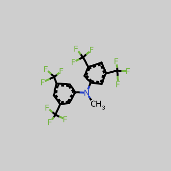 CN(c1cc(C(F)(F)F)cc(C(F)(F)F)c1)c1cc(C(F)(F)F)cc(C(F)(F)F)c1